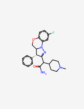 CN1CCC(C(C(N)=O)C2=NN3c4cc(F)ccc4OCC3[C@H]2c2ccccc2)CC1